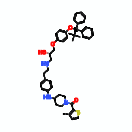 Cc1ccsc1C(=O)N1CCC(Nc2ccc(CCNC[C@H](O)COc3ccc(O[Si](c4ccccc4)(c4ccccc4)C(C)(C)C)cc3)cc2)CC1